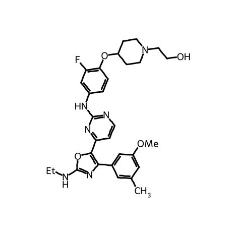 CCNc1nc(-c2cc(C)cc(OC)c2)c(-c2ccnc(Nc3ccc(OC4CCN(CCO)CC4)c(F)c3)n2)o1